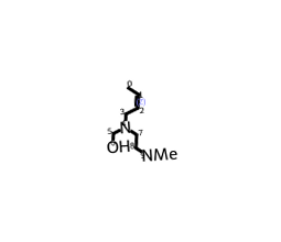 C/C=C\CN(CO)CCNC